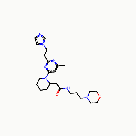 Cc1cc(N2CCCCC2CC(=O)NCCCN2CCOCC2)nc(CCn2ccnc2)n1